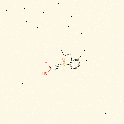 CCCc1c(C)cccc1S(=O)(=O)/C=C/C(=O)O